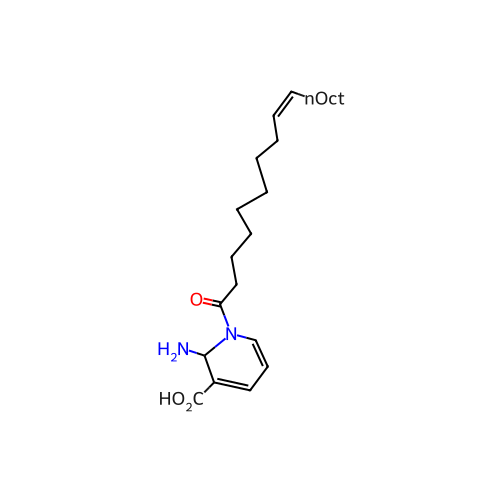 CCCCCCCC/C=C\CCCCCCCC(=O)N1C=CC=C(C(=O)O)C1N